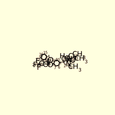 CN(CC(O)c1ccc(OS(=O)(=O)c2ccccc2OC(F)(F)F)cc1)C(=O)OC(C)(C)C